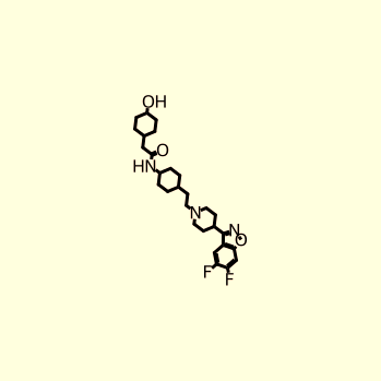 O=C(CC1CCC(O)CC1)NC1CCC(CCN2CCC(c3noc4cc(F)c(F)cc34)CC2)CC1